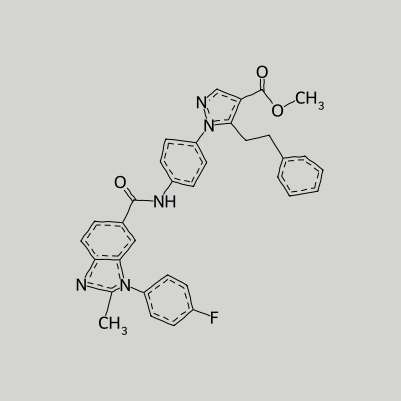 COC(=O)c1cnn(-c2ccc(NC(=O)c3ccc4nc(C)n(-c5ccc(F)cc5)c4c3)cc2)c1CCc1ccccc1